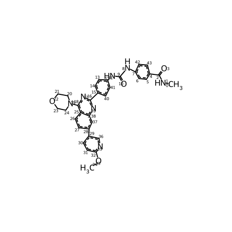 CNC(=O)c1ccc(NC(=O)Nc2ccc(-c3nc(N4CCOCC4)c4ccc(-c5ccc(OC)nc5)cc4n3)cc2)cc1